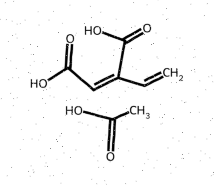 C=CC(=CC(=O)O)C(=O)O.CC(=O)O